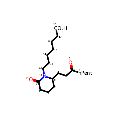 CCCCCC(=O)CCC1CCCC(=O)N1CCCCCCC(=O)O